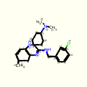 CC1C=CC2=C(C1)N=C(NCc1cccc(Cl)c1)C1(CCC(N(C)C)CC1)N2